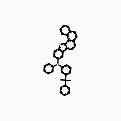 CC(C)(c1ccccc1)c1cccc(N(c2ccccc2)c2ccc3sc4c(ccc5ccc6ccccc6c54)c3c2)c1